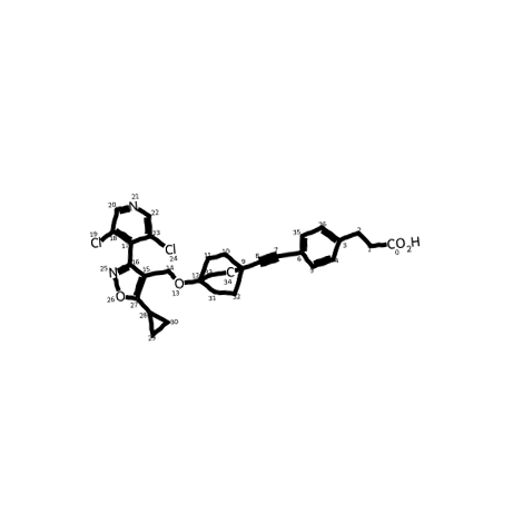 O=C(O)CCc1ccc(C#CC23CCC(OCc4c(-c5c(Cl)cncc5Cl)noc4C4CC4)(CC2)CC3)cc1